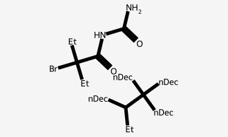 CCC(Br)(CC)C(=O)NC(N)=O.CCCCCCCCCCC(CC)C(CCCCCCCCCC)(CCCCCCCCCC)CCCCCCCCCC